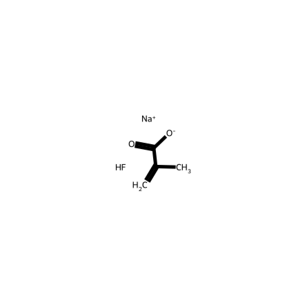 C=C(C)C(=O)[O-].F.[Na+]